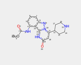 CC(C)COC(=O)Nc1cccc2nn3c(C4CCNCC4)cc(=O)[nH]c3c12